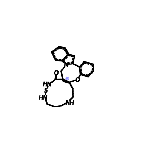 O=C1NSNCCCNCC/C2=C\1Cn1c(cc3ccccc31)-c1ccccc1O2